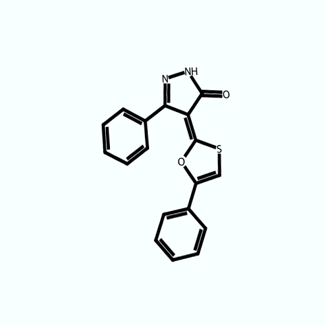 O=C1NN=C(c2ccccc2)/C1=C1\OC(c2ccccc2)=CS1